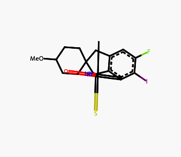 COC1CCC2(CC1)Cc1cc(F)c(I)cc1C21NC(=S)NC1=O